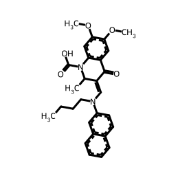 CCCCN(C=C1C(=O)c2cc(OC)c(OC)cc2N(C(=O)O)C1C)c1ccc2ccccc2c1